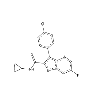 O=C(NC1CC1)c1nn2cc(F)cnc2c1-c1ccc(Cl)cc1